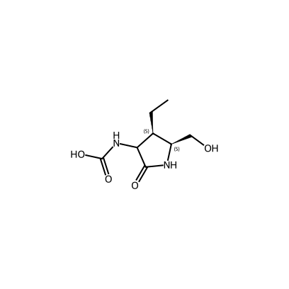 CC[C@@H]1C(NC(=O)O)C(=O)N[C@@H]1CO